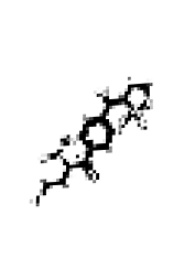 O=C(c1ccc(C(=O)C2CCOS2(=O)=O)cc1)C(CCF)[SH](=O)=O